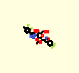 CC(=O)O[C@@H]1[C@@H](n2cc(-c3ccc(C)c(F)c3F)nn2)[C@@H](O)[C@@H](CO)O[C@@H]1CC1=NOC2(CCC(F)(F)CC2)C1